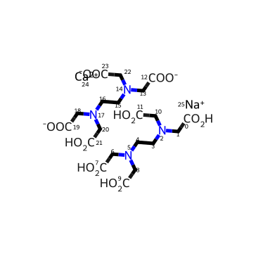 O=C(O)CN(CCN(CC(=O)O)CC(=O)O)CC(=O)O.O=C([O-])CN(CCN(CC(=O)[O-])CC(=O)O)CC(=O)[O-].[Ca+2].[Na+]